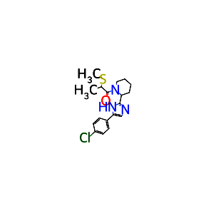 CSC(C)C(=O)N1CCCCC1c1ncc(-c2ccc(Cl)cc2)[nH]1